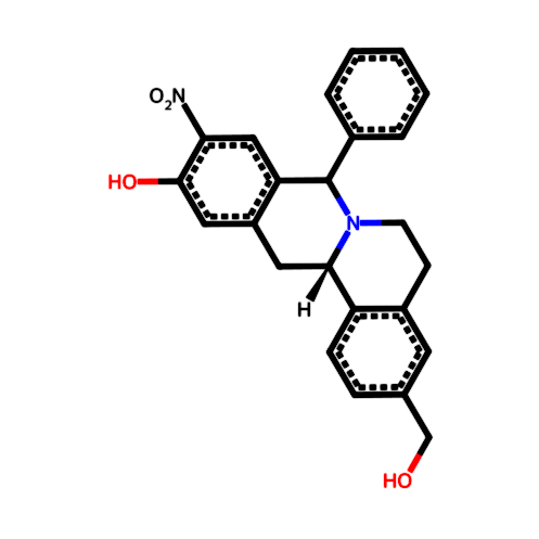 O=[N+]([O-])c1cc2c(cc1O)C[C@H]1c3ccc(CO)cc3CCN1C2c1ccccc1